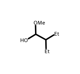 CCC(CC)C(O)OC